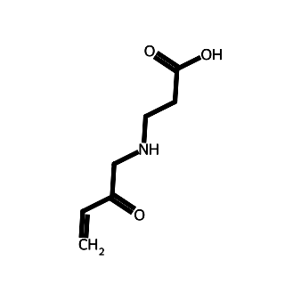 C=CC(=O)CNCCC(=O)O